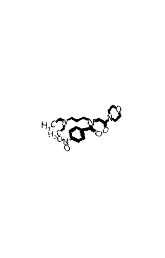 CCN(CC)CCCN(CC(=O)N1CCOCC1)C(=O)c1ccc([N+](=O)[O-])cc1